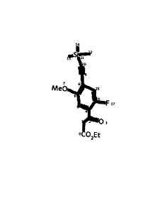 CCOC(=O)CC(=O)c1cc(OC)c(C#C[Si](C)(C)C)cc1F